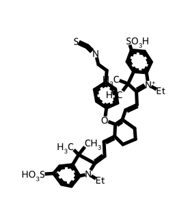 CCN1/C(=C/C=C2\CCCC(/C=C/C3=[N+](CC)c4ccc(S(=O)(=O)O)cc4C3(C)C)=C2Oc2ccc(CCN=C=S)cc2)C(C)(C)c2cc(S(=O)(=O)O)ccc21